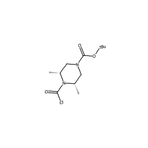 C[C@@H]1CN(C(=O)OC(C)(C)C)C[C@H](C)N1C(=O)Cl